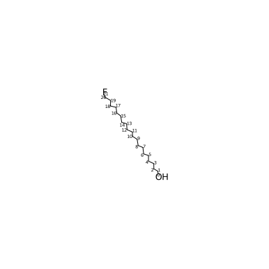 OCCCCCCCCCCCCCCCCCCCCF